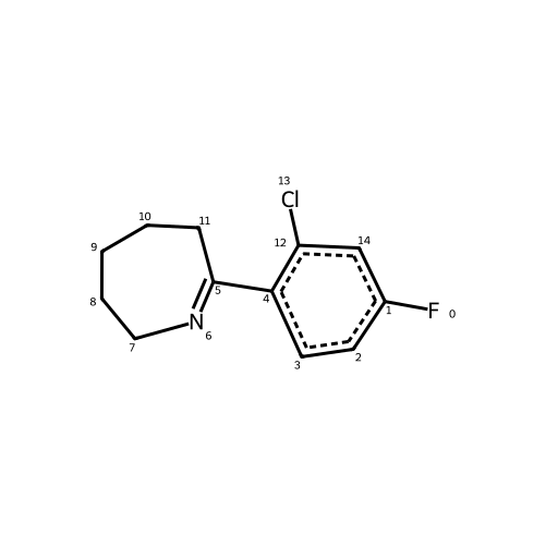 Fc1ccc(C2=NCCCCC2)c(Cl)c1